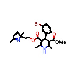 COC(=O)C1=C(C)NC(C)=C(C(=O)OCCC2(C)C=CC(C)=N2)C1c1cccc(Br)c1